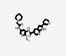 Cc1ncc(NC(=O)CN2CCCCC2)cc1NC(=O)c1cnc2[nH]c(C3=COCCC3)cc2c1